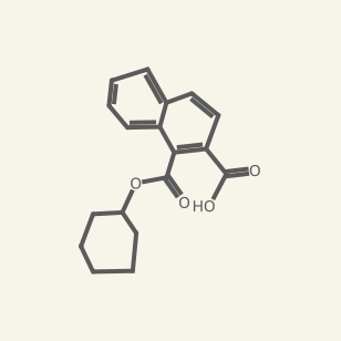 O=C(O)c1ccc2ccccc2c1C(=O)OC1CCCCC1